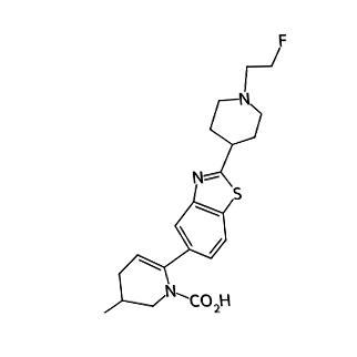 CC1CC=C(c2ccc3sc(C4CCN(CCF)CC4)nc3c2)N(C(=O)O)C1